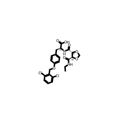 CCNC(=O)[C@@H]1OCO[C@H]1C(=O)N[C@@H](Cc1ccc(OCc2c(Cl)cccc2Cl)cc1)C(=O)O